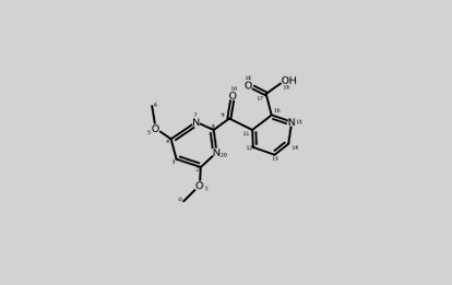 COc1cc(OC)nc(C(=O)c2cccnc2C(=O)O)n1